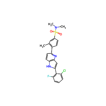 Cc1cc(S(=O)(=O)N(C)C)ccc1-c1ccc2[nH]c(-c3c(F)cccc3Cl)cc2n1